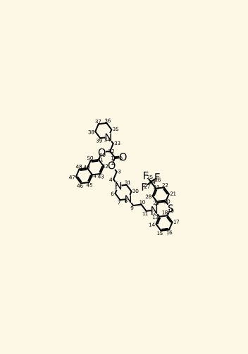 O=C(OCCN1CCN(CCCN2c3ccccc3Sc3ccc(C(F)(F)F)cc32)CC1)C(CN1CCCCC1)Oc1ccc2ccccc2c1